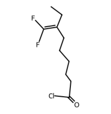 CCC(CCCCCC(=O)Cl)=C(F)F